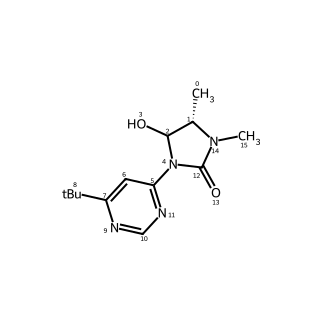 C[C@H]1C(O)N(c2cc(C(C)(C)C)ncn2)C(=O)N1C